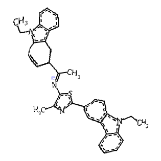 CCn1c2c(c3ccccc31)CC(/C(C)=N/c1sc(-c3ccc4c(c3)c3ccccc3n4CC)nc1C)C=C2